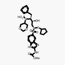 COC(=O)Nc1nc2cc(S(=O)(=O)N(C[C@H](O)[C@H](Cc3ccccc3)N(C(=O)O)C3COCOC3)OC3CCCC3)ccc2[nH]1